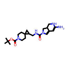 CC(C)(C)OC(=O)N1CCC2(CC1)CC2CNC(=O)N1C=C2C=C(N)NCC2C1